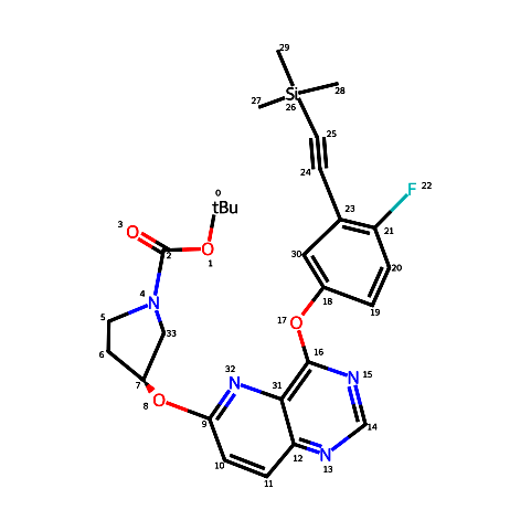 CC(C)(C)OC(=O)N1CC[C@H](Oc2ccc3ncnc(Oc4ccc(F)c(C#C[Si](C)(C)C)c4)c3n2)C1